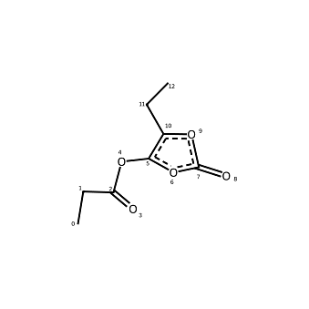 CCC(=O)Oc1oc(=O)oc1CC